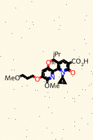 COCCCOc1cc2c(nc1OC)-c1c(cc(C(=O)O)c(=O)n1C1CC1)[C@@H](C(C)C)O2